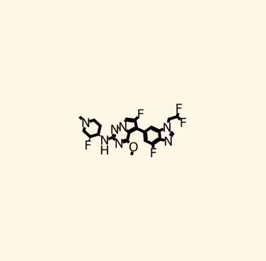 COc1nc(N[C@H]2CCN(C)C[C@H]2F)nn2cc(F)c(-c3cc(F)c4ncn(CC(F)F)c4c3)c12